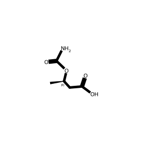 C[C@H](CC(=O)O)OC(N)=O